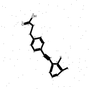 Cc1cccc(C#Cc2ccc(CCC(=O)O)cc2)c1C